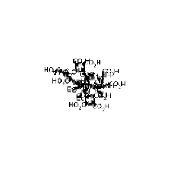 CCOCCN(CC(=O)NCC(CNC(=O)CN(CCOCC)C(=O)CN(CCNCC(=O)O)CCN(CCNCC(=O)O)CC(=O)O)(CNC(=O)CN(CCOCC)C(=O)CN1CCN(CC(=O)O)CCN(CC(=O)O)CCN(CC(=O)O)CC1)CNC(=O)CN(CCOCC)C(=O)CN1CCN(CC(=O)O)CCN(CC(=O)O)CCN(CC(=O)O)CC1)C(=O)CNCCN(CCN(CCNCC(=O)O)CC(=O)O)CC(=O)O